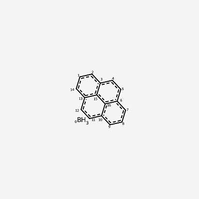 B.c1cc2ccc3cccc4ccc(c1)c2c34